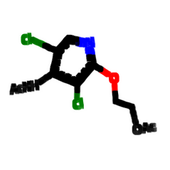 CC(=O)Nc1c(Cl)cnc(OCCOC(C)=O)c1Cl